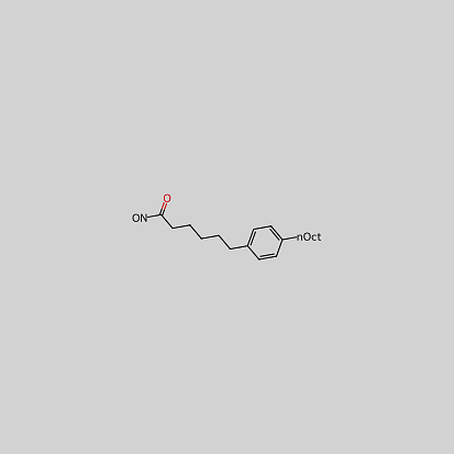 CCCCCCCCc1ccc(CCCCCC(=O)N=O)cc1